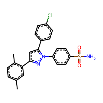 Cc1ccc(C)c(-c2cc(-c3ccc(Cl)cc3)n(-c3ccc(S(N)(=O)=O)cc3)n2)c1